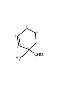 CC1(C=O)C=CCCC1